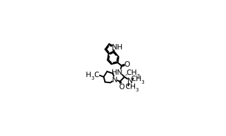 CC1CCN(C(=O)[C@@](C)(NC(=O)c2ccc3cc[nH]c3c2)N(C)C)CC1